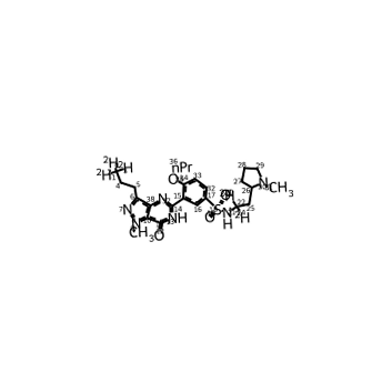 [2H]C([2H])([2H])CCc1nn(C)c2c(=O)[nH]c(-c3cc(S(=O)(=O)NC([2H])([2H])CC4CCCN4C)ccc3OCCC)nc12